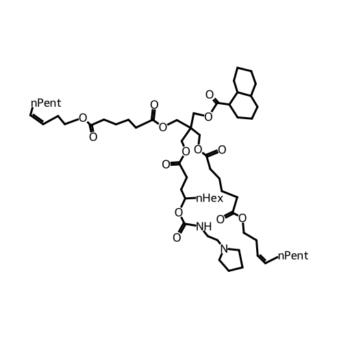 CCCCC/C=C\CCOC(=O)CCCCC(=O)OCC(COC(=O)CCCCC(=O)OCC/C=C\CCCCC)(COC(=O)CCC(CCCCCC)OC(=O)NCCN1CCCC1)COC(=O)C1CCCC2CCCCC21